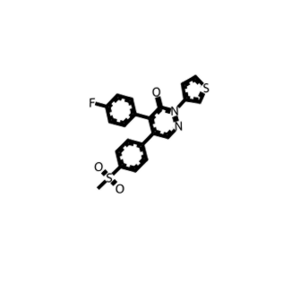 CS(=O)(=O)c1ccc(-c2cnn(-c3ccsc3)c(=O)c2-c2ccc(F)cc2)cc1